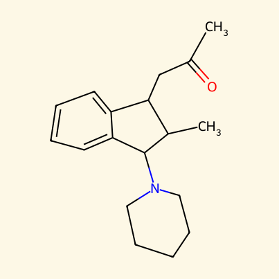 CC(=O)CC1c2ccccc2C(N2CCCCC2)C1C